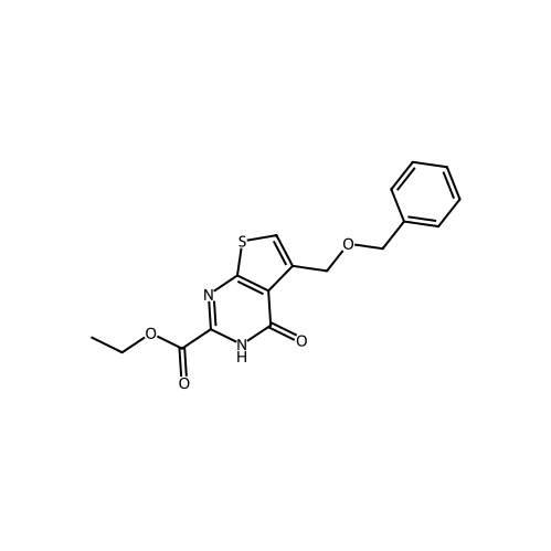 CCOC(=O)c1nc2scc(COCc3ccccc3)c2c(=O)[nH]1